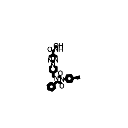 C#Cc1ccc(N2C(=O)C(c3ccccc3)N(CC3CCN(c4ncc(C(=O)NO)cn4)CC3)C2=O)cc1